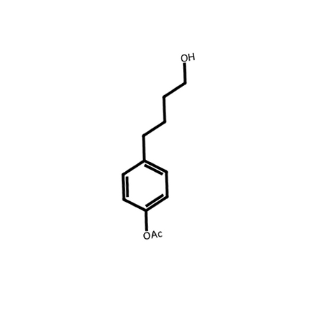 CC(=O)Oc1ccc(CCCCO)cc1